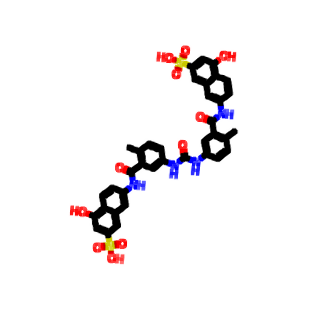 Cc1ccc(NC(=O)Nc2ccc(C)c(C(=O)Nc3ccc4c(O)cc(S(=O)(=O)O)cc4c3)c2)cc1C(=O)Nc1ccc2c(O)cc(S(=O)(=O)O)cc2c1